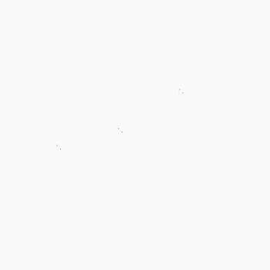 N=C/C(C(=O)O)=C(/I)Nc1cccnc1